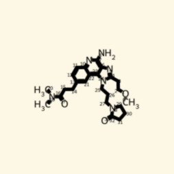 COCCc1nc2c(N)nc3ccc(CCC(=O)N(C)C)cc3c2n1CCCN1CCCC1=O